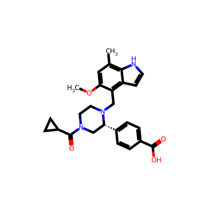 COc1cc(C)c2[nH]ccc2c1CN1CCN(C(=O)C2CC2)C[C@H]1c1ccc(C(=O)O)cc1